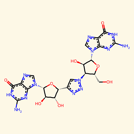 Nc1nc2c(ncn2[C@@H]2O[C@H](c3cn([C@H]4[C@@H](O)[C@H](n5cnc6c(=O)[nH]c(N)nc65)O[C@@H]4CO)nn3)[C@H](O)[C@H]2O)c(=O)[nH]1